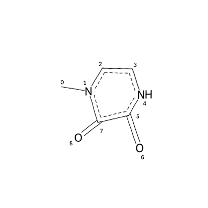 Cn1cc[nH]c(=O)c1=O